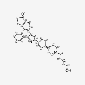 O=C1CCc2cc(-c3cn(-c4ccc(N5CCN(CCOCCO)CC5)cc4)nc3-c3ccncc3)ccc21